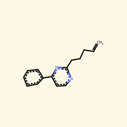 C=CCCCc1nccc(-c2ccccc2)n1